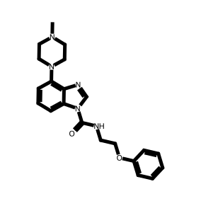 CN1CCN(c2cccc3c2ncn3C(=O)NCCOc2ccccc2)CC1